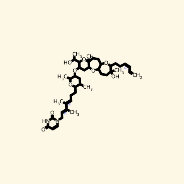 C=C/C=C\CCC1OC2CCC3(C)OC(C(C)O)C(OC4CC(C)C(CC/C=C(C)/C(C)=C/Cn5ccc(=O)[nH]c5=O)OC4C)CC3OC2CCC1(C)O